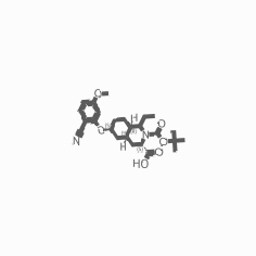 CCC1[C@@H]2CC[C@H](Oc3cc(OC)ccc3C#N)C[C@@H]2C[C@@H](C(=O)O)N1C(=O)OC(C)(C)C